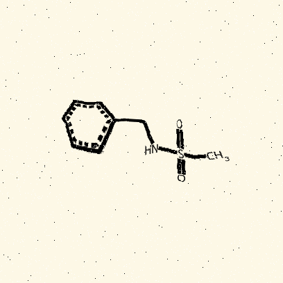 CS(=O)(=O)NCc1[c]cccc1